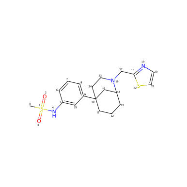 CS(=O)(=O)Nc1cccc(C23CCCC(C2)N(Cc2nccs2)CC3)c1